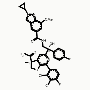 COc1cc(C(=O)NC[C@@](O)(c2ccc(F)cc2)c2cc3c(c(-c4ccc(F)c(Cl)c4Cl)n2)OC[C@]3(C)C(N)=O)cc2cn(C3CC3)nc12